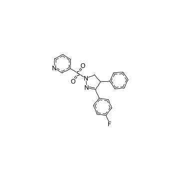 O=S(=O)(c1cccnc1)N1CC(c2ccccc2)C(c2ccc(F)cc2)=N1